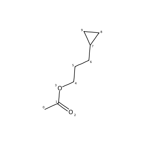 CC(=O)OCCCC1CC1